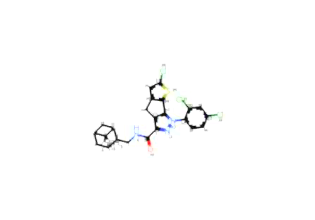 CC1(C)C2CCC(CNC(=O)c3nn(-c4ccc(Cl)cc4Cl)c4c3Cc3cc(Cl)sc3-4)C1C2